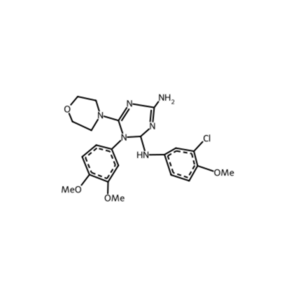 COc1ccc(NC2N=C(N)N=C(N3CCOCC3)N2c2ccc(OC)c(OC)c2)cc1Cl